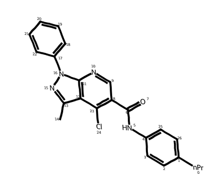 CCCc1ccc(NC(=O)c2cnc3c(c(C)nn3-c3ccccc3)c2Cl)cc1